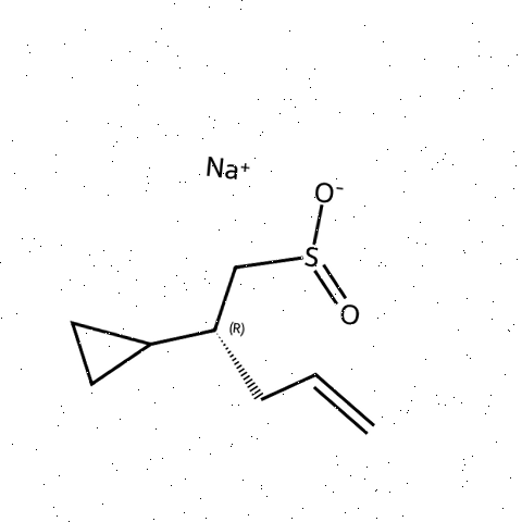 C=CC[C@@H](CS(=O)[O-])C1CC1.[Na+]